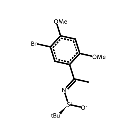 COc1cc(OC)c(/C(C)=N/[S@@+]([O-])C(C)(C)C)cc1Br